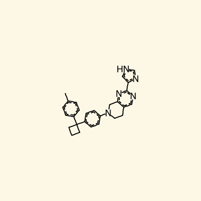 Cc1ccc(C2(c3ccc(N4CCc5cnc(-c6c[nH]cn6)nc5C4)cc3)CCC2)cc1